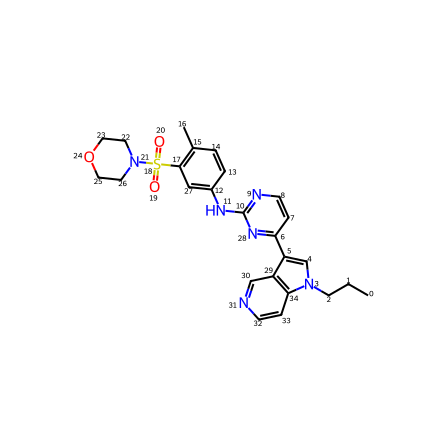 CCCn1cc(-c2ccnc(Nc3ccc(C)c(S(=O)(=O)N4CCOCC4)c3)n2)c2cnccc21